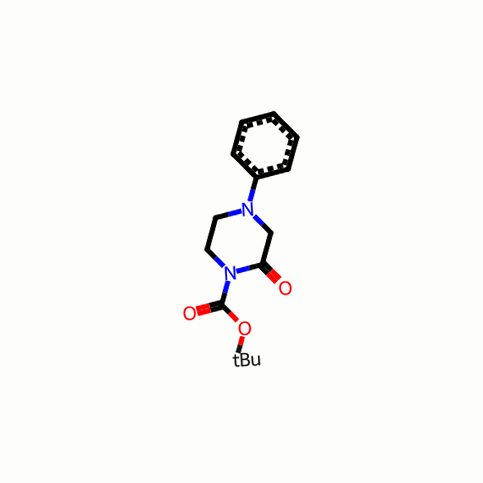 CC(C)(C)OC(=O)N1CCN(c2ccccc2)CC1=O